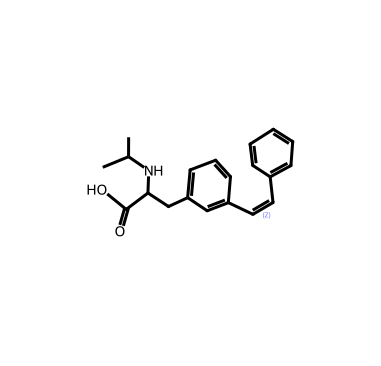 CC(C)NC(Cc1cccc(/C=C\c2ccccc2)c1)C(=O)O